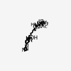 CC[C@@H]1CCN(C(=O)C(CC(C)(C)C)NC(=O)O[C@@H]2C[C@H]2CCCCCc2nc3ccc(OCc4cnccn4)cc3nc2O)[C@@H]1C(C)=O